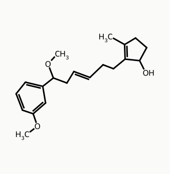 COc1cccc(C(C/C=C/CCC2=C(C)CCC2O)OC)c1